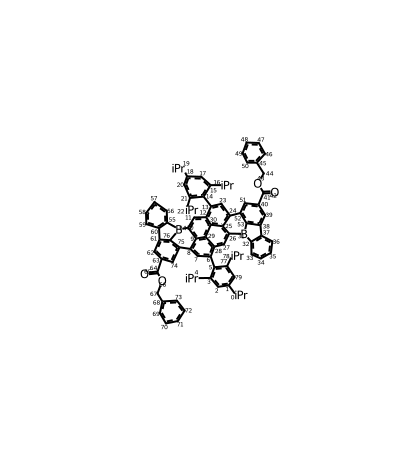 CC(C)c1cc(C(C)C)c(-c2cc3c4c(cc5c(-c6c(C(C)C)cc(C(C)C)cc6C(C)C)cc6c7c(cc2c4c57)B2c4ccccc4-c4cc(C(=O)OCc5ccccc5)cc-6c42)B2c4ccccc4-c4cc(C(=O)OCc5ccccc5)cc-3c42)c(C(C)C)c1